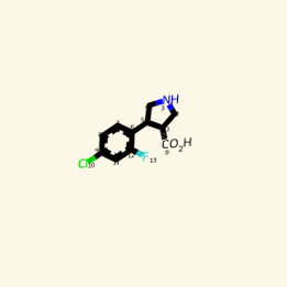 O=C(O)C1CNCC1c1ccc(Cl)cc1F